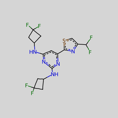 FC(F)c1csc(-c2cc(NC3CC(F)(F)C3)nc(NC3CC(F)(F)C3)n2)n1